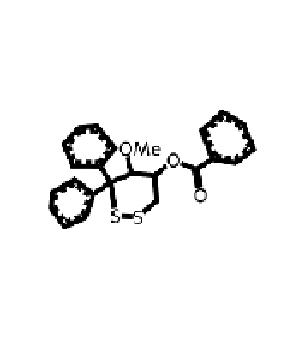 COC1C(OC(=O)c2ccccc2)CSSC1(c1ccccc1)c1ccccc1